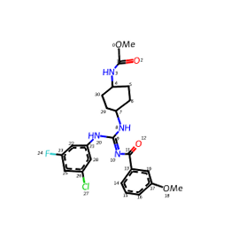 COC(=O)NC1CCC(N/C(=N\C(=O)c2cccc(OC)c2)Nc2cc(F)cc(Cl)c2)CC1